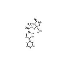 C[C@@H](C[C@]1(C2CC2)CNC(=O)N1)C(=O)N1CCC(c2ccccc2)CC1